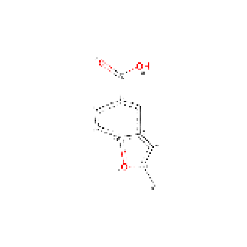 Cc1cc2cc(C(=O)O)ccc2o1